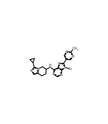 CCn1c(-c2cnc(C)nc2)nc2c(NC3CCc4cnc(C5CC5)n4C3)ncnc21